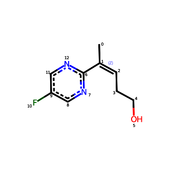 C/C(=C/CCO)c1ncc(F)cn1